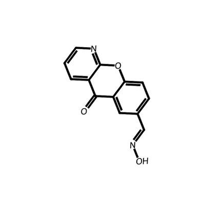 O=c1c2cc(C=NO)ccc2oc2ncccc12